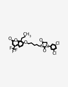 CCCc1c(OCCCCCN2C(=O)CN(c3cc(Cl)cc(Cl)c3)C2=O)ccc2c(C(F)(F)F)cc(=O)oc12